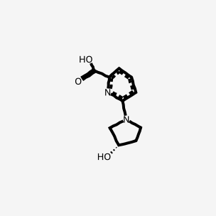 O=C(O)c1cccc(N2CC[C@H](O)C2)n1